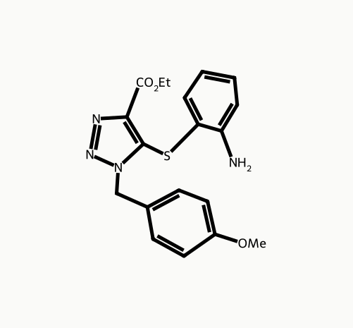 CCOC(=O)c1nnn(Cc2ccc(OC)cc2)c1Sc1ccccc1N